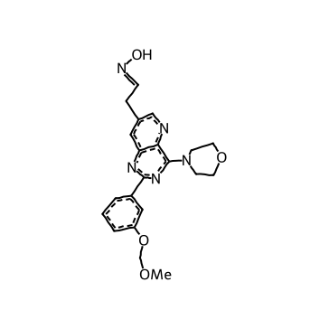 COCOc1cccc(-c2nc(N3CCOCC3)c3ncc(C/C=N/O)cc3n2)c1